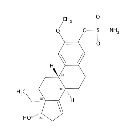 CC[C@]12CC[C@@H]3c4cc(OC)c(OS(N)(=O)=O)cc4CC[C@H]3C1=CC[C@@H]2O